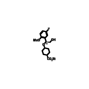 CCOC(=O)[C@H]1CC[C@@H](O[C@@H](CO)c2cc(F)ccc2OC)CC1